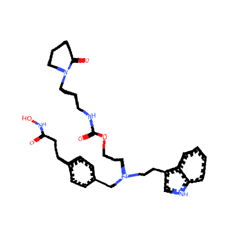 O=C(CCc1ccc(CN(CCOC(=O)NCCCN2CCCC2=O)CCc2c[nH]c3ccccc23)cc1)NO